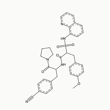 COc1ccc(CC(C(=O)NC(Cc2ccc(C#N)cc2)C(=O)N2CCCC2)S(=O)(=O)Nc2cccc3cccnc23)cc1